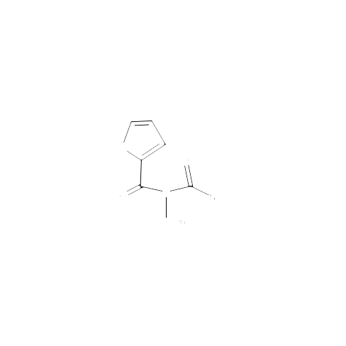 CCCCCP(C(N)=O)C(=O)c1ccco1